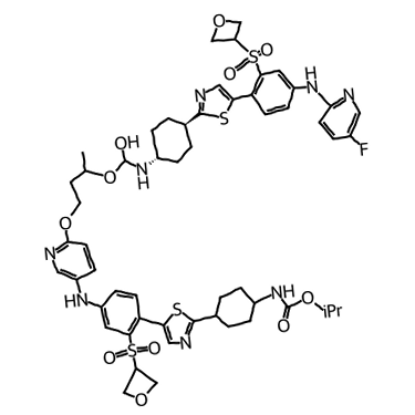 CC(C)OC(=O)NC1CCC(c2ncc(-c3ccc(Nc4ccc(OCCC(C)OC(O)N[C@H]5CC[C@H](c6ncc(-c7ccc(Nc8ccc(F)cn8)cc7S(=O)(=O)C7COC7)s6)CC5)nc4)cc3S(=O)(=O)C3COC3)s2)CC1